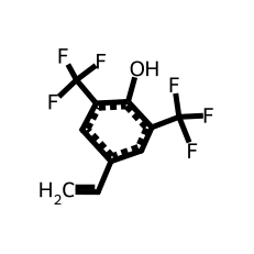 C=Cc1cc(C(F)(F)F)c(O)c(C(F)(F)F)c1